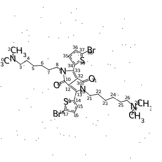 CN(C)CCCCCCN1C(=O)C2=C(c3ccc(Br)s3)N(CCCCCCN(C)C)C(=O)C2=C1c1ccc(Br)s1